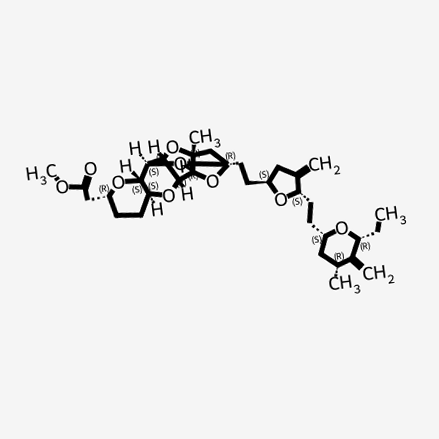 C=C1C[C@H](CC[C@@]23C[C@@]4(C)O[C@H]5[C@@H](O2)[C@H]2O[C@@H](CC(=O)OC)CC[C@@H]2O[C@H]5[C@H]4O3)O[C@H]1CC[C@H]1C[C@@H](C)C(=C)[C@@H](CC)O1